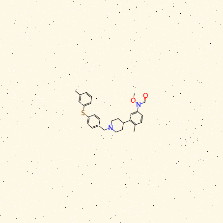 CON(C=O)c1ccc(C)c(C2CCN(Cc3ccc(Sc4cccc(C)c4)cc3)CC2)c1